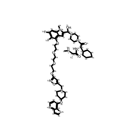 CN[C@@H](C)C(=O)N[C@H](C(=O)N1CCN(C(O)c2cc3c(OCCOCCOCCOc4cc(CN5CCC(Oc6ccnc7ccsc67)CC5)on4)c(F)c(F)cc3n2C)CC1)C1CCCCC1